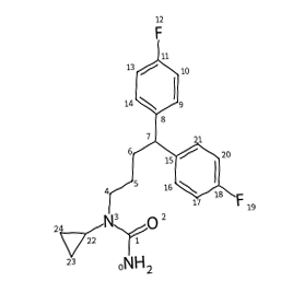 NC(=O)N(CCCC(c1ccc(F)cc1)c1ccc(F)cc1)C1CC1